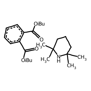 CC(C)COC(=O)c1ccccc1C(=O)OCC(C)C.CC1(C)CCCC(C)(C)N1